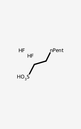 CCCCCCCS(=O)(=O)O.F.F